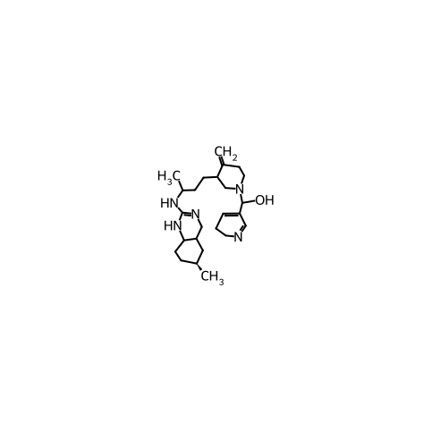 C=C1CCN(C(O)C2=CCCN=C2)CC1CCC(C)NC1=NCC2C[C@@H](C)CCC2N1